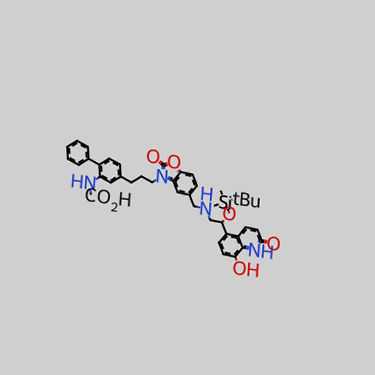 CC(C)(C)[Si](C)(C)OC(CNCc1ccc2oc(=O)n(CCCc3ccc(-c4ccccc4)c(NC(=O)O)c3)c2c1)c1ccc(O)c2[nH]c(=O)ccc12